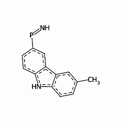 Cc1ccc2[nH]c3ccc(P=N)cc3c2c1